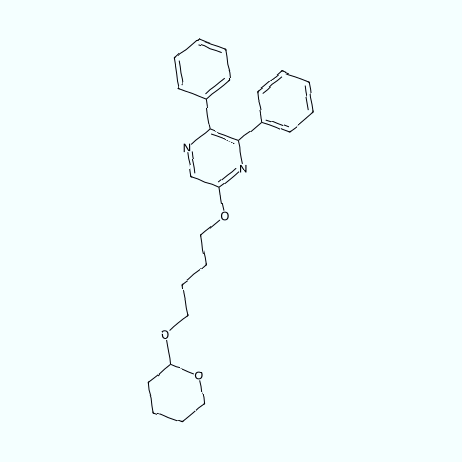 c1ccc(-c2ncc(OCCCCOC3CCCCO3)nc2-c2ccccc2)cc1